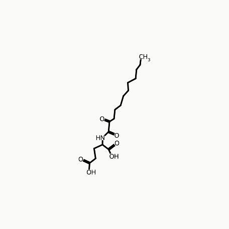 CCCCCCCCCCC(=O)C(=O)NC(CCC(=O)O)C(=O)O